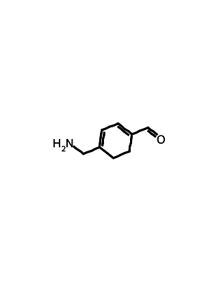 NCC1=CC=C(C=O)CC1